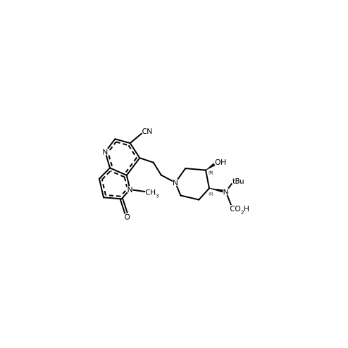 Cn1c(=O)ccc2ncc(C#N)c(CCN3CC[C@H](N(C(=O)O)C(C)(C)C)[C@H](O)C3)c21